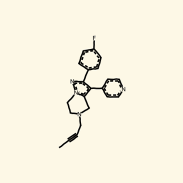 CC#CCN1CCn2nc(-c3ccc(F)cc3)c(-c3ccncc3)c2C1